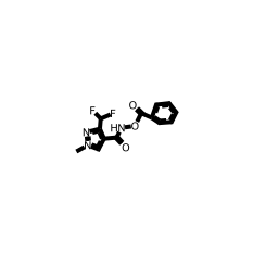 Cn1cc(C(=O)NOC(=O)c2ccccc2)c(C(F)F)n1